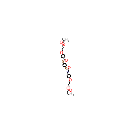 C=CC(=O)OCCCCOc1ccc(/C=C/C(=O)Sc2ccc(SC(=O)c3ccc(OCCCCOC(=O)C=C)cc3)cc2)cc1